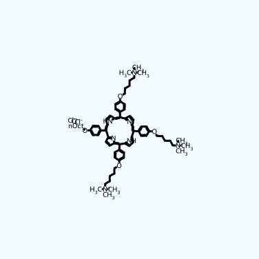 CCCCCCCCOc1ccc(-c2c3nc(c(-c4ccc(OCCCCC[N+](C)(C)C)cc4)c4ccc([nH]4)c(-c4ccc(OCCCCC[N+](C)(C)C)cc4)c4nc(c(-c5ccc(OCCCCC[N+](C)(C)C)cc5)c5ccc2[nH]5)C=C4)C=C3)cc1.[Cl-].[Cl-].[Cl-]